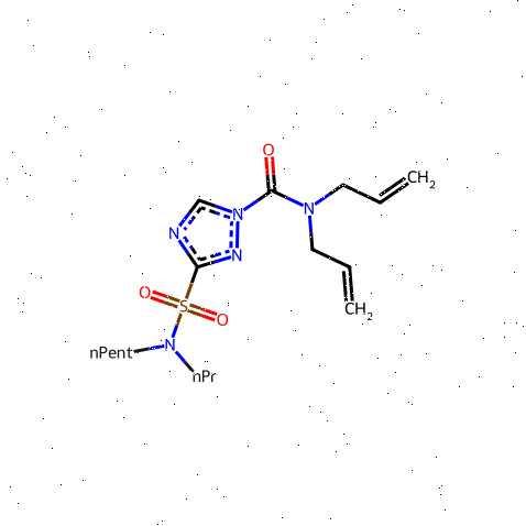 C=CCN(CC=C)C(=O)n1cnc(S(=O)(=O)N(CCC)CCCCC)n1